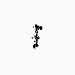 Cc1ccc(CCNCc2cc(N)c(N(N)CCCN3CCC(CC(=O)C(N=O)(c4cccs4)c4ccc(-c5ccccc5)s4)CC3)c3c2CCC3)c2ccc(=O)[nH]c12